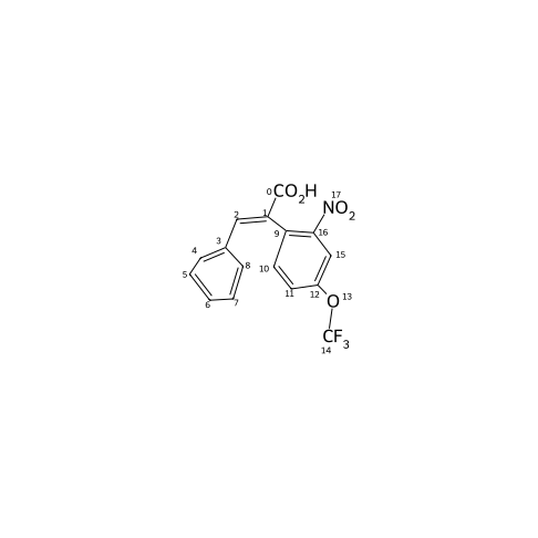 O=C(O)C(=Cc1ccccc1)c1ccc(OC(F)(F)F)cc1[N+](=O)[O-]